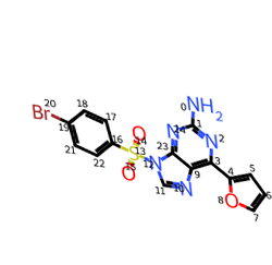 Nc1nc(-c2ccco2)c2ncn(S(=O)(=O)c3ccc(Br)cc3)c2n1